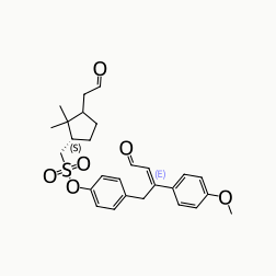 COc1ccc(/C(=C/C=O)Cc2ccc(OS(=O)(=O)C[C@H]3CCC(CC=O)C3(C)C)cc2)cc1